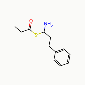 CCC(=O)SC(N)CCc1ccccc1